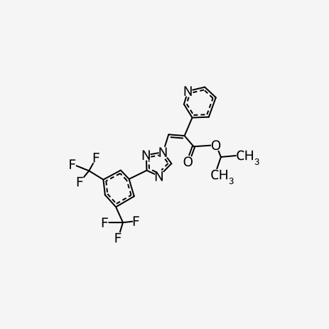 CC(C)OC(=O)C(=Cn1cnc(-c2cc(C(F)(F)F)cc(C(F)(F)F)c2)n1)c1cccnc1